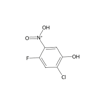 O=[N+](O)c1cc(O)c(Cl)cc1F